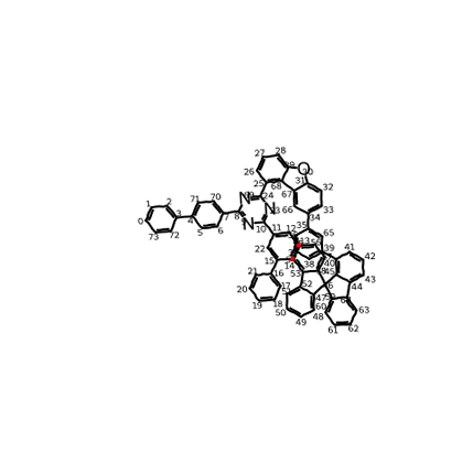 c1ccc(-c2ccc(-c3nc(-c4cccc(-c5ccccc5)c4)nc(-c4cccc5oc6ccc(-c7cccc(-c8cccc9c8C8(c%10ccccc%10-c%10ccccc%108)c8ccccc8-9)c7)cc6c45)n3)cc2)cc1